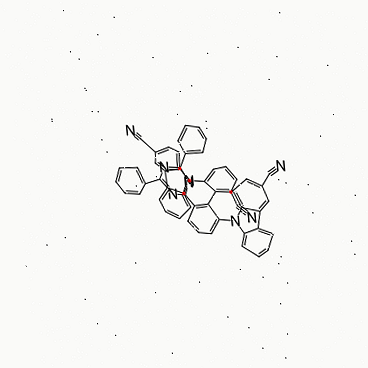 N#Cc1ccc2c(c1)c1ccccc1n2-c1cccc(C#N)c1-c1c(-c2nc(-c3ccccc3)nc(-c3ccccc3)n2)cccc1-n1c2ccccc2c2cc(C#N)ccc21